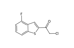 O=C(CCl)c1cc2c(F)cccc2s1